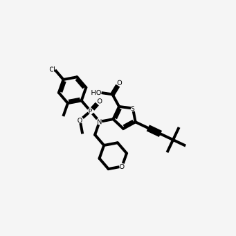 COP(=O)(c1ccc(Cl)cc1C)N(CC1CCOCC1)c1cc(C#CC(C)(C)C)sc1C(=O)O